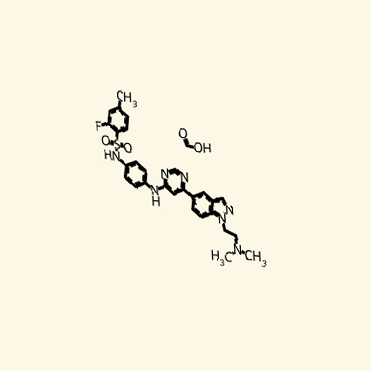 Cc1ccc(S(=O)(=O)Nc2ccc(Nc3cc(-c4ccc5c(cnn5CCN(C)C)c4)ncn3)cc2)c(F)c1.O=CO